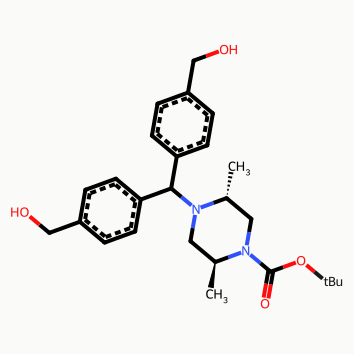 C[C@@H]1CN(C(=O)OC(C)(C)C)[C@@H](C)CN1C(c1ccc(CO)cc1)c1ccc(CO)cc1